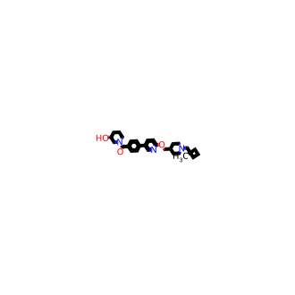 CC1(CN2CCC(COc3ccc(-c4ccc(C(=O)N5CCC[C@H](O)C5)cc4)cn3)CC2)CCC1